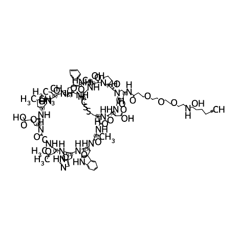 C#CCCCC(O)NCCOCCOCCOCCC(=O)N[C@H]1C[C@H]2C(=O)N[C@@H](CC(=O)O)C(=O)N[C@H]3CSSC[C@H](NC(=O)[C@H](Cc4c[nH]c5ccccc45)NC(=O)[C@H](C(C)C)NC(=O)[C@H](CC(C)C)NC(=O)[C@H](CCC(=O)O)NC(=O)CNC(=O)[C@H](CC(C)C)NC(=O)[C@H](Cc4cnc[nH]4)NC(=O)[C@H](Cc4c[nH]c5ccccc45)NC(=O)[C@H](C)NC3=O)C(=O)N[C@@H]([C@@H](C)O)C(=O)N3CCC[C@@H]3C(=O)N2C1